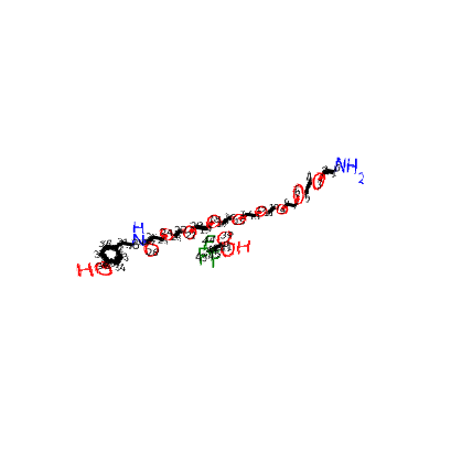 NCCOCCOCCOCCOCCOCCOCCOCCOCCC(=O)NCCc1ccc(O)cc1.O=C(O)C(F)(F)F